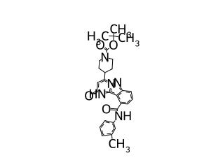 Cc1cccc(NC(=O)c2cccc3nn4c(C5CCN(C(=O)OC(C)(C)C)CC5)cc(=O)[nH]c4c23)c1